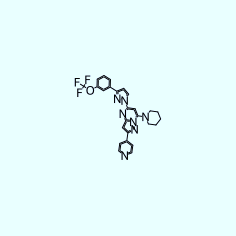 FC(F)(F)Oc1cccc(-c2ccn(-c3cc(N4CCCCC4)n4nc(-c5ccncc5)cc4n3)n2)c1